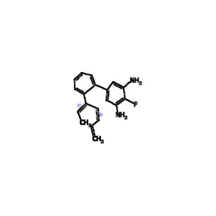 C=C/C=C\C(=C/C)c1ccccc1-c1cc(N)c(F)c(N)c1